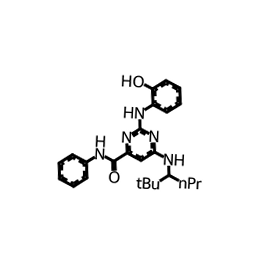 CCCC(Nc1cc(C(=O)Nc2ccccc2)nc(Nc2ccccc2O)n1)C(C)(C)C